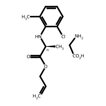 C=CCOC(=O)[C@H](C)Nc1c(C)cccc1Cl.NCC(=O)O